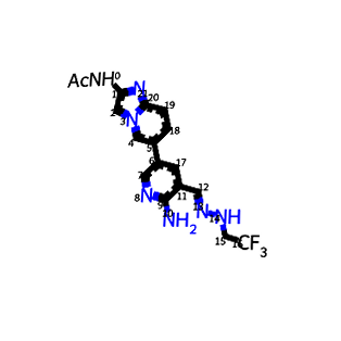 CC(=O)Nc1cn2cc(-c3cnc(N)c(/C=N/NCC(F)(F)F)c3)ccc2n1